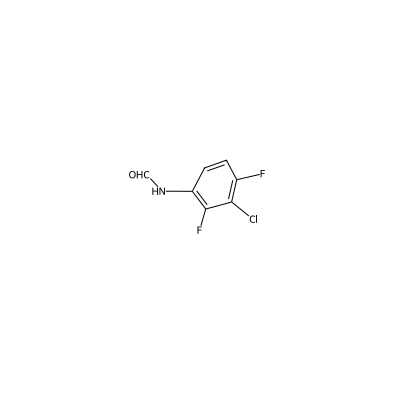 O=CNc1ccc(F)c(Cl)c1F